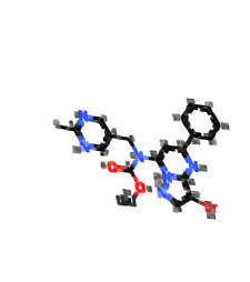 Cc1ncc(CN(C(=O)OC(C)(C)C)c2cc(-c3ccccc3)nc3c(Br)cnn23)cn1